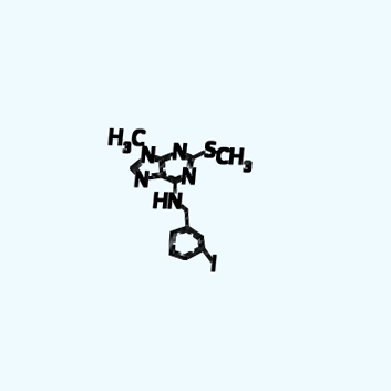 CSc1nc(NCc2cccc(I)c2)c2ncn(C)c2n1